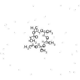 C=CC(=O)OC(C)COC(C)COC(C)COC(C)COCC